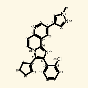 Cn1cc(-c2cnc3ccn4c(C5=CCCC5)c(-c5ccccc5Cl)nc4c3c2)cn1